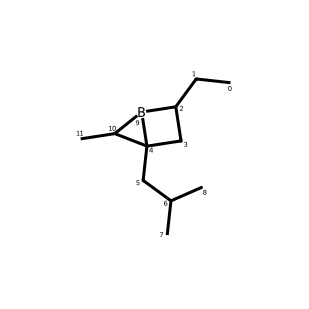 CCC1CC2(CC(C)C)B1C2C